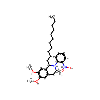 CCCCCCCCCCCC1c2cc(OC)c(OC)cc2CC(C)N1c1ccccc1[N+](=O)[O-]